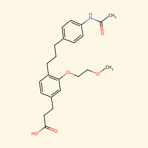 COCCOc1cc(CCC(=O)O)ccc1CCCc1ccc(NC(C)=O)cc1